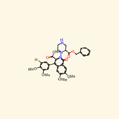 COC(=O)c1c(-c2cc(Br)c(OC)c(OC)c2)c2cc(OC)c(OC)cc2c(=O)n1N1CCNCC1C(=O)OCc1ccccc1